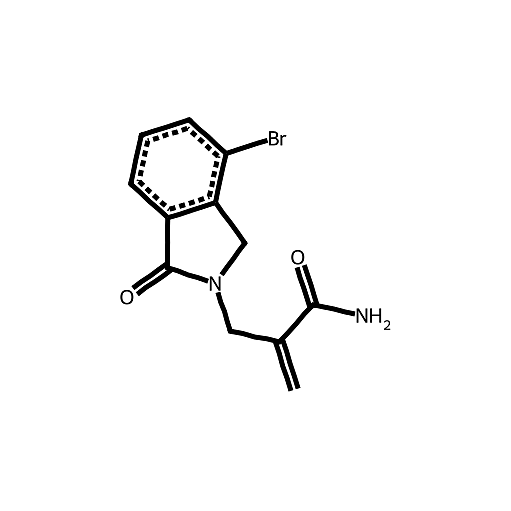 C=C(CN1Cc2c(Br)cccc2C1=O)C(N)=O